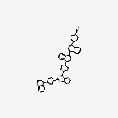 N#Cc1ccc(-c2ccc(-c3ccc(-c4ccc(-c5nc(-c6ccc(-c7cccc8ccccc78)cc6)nc6ccccc56)cc4)c4ccccc34)c3ccccc23)cc1